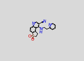 N#Cc1cnc2ccc3c(c2c1NCCc1ccccn1)CCS3(=O)=O